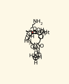 C=C([C@H](CCCCN)NC(=O)CCCCCCC)N(C)[C@@H]1C(=O)N[C@@H](C)C(=O)N[C@H](C(=O)NCB2O[C@@H]3C[C@@H]4C[C@@H](C4(C)C)[C@]3(C)O2)Cc2ccc(O)c(c2)-c2cc1ccc2O